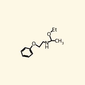 CCOC(C)NCCOc1ccccc1